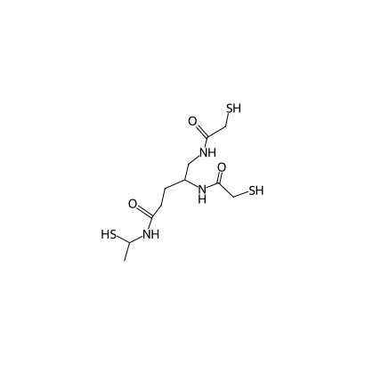 CC(S)NC(=O)CCC(CNC(=O)CS)NC(=O)CS